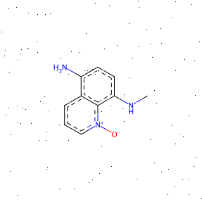 CNc1ccc(N)c2ccc[n+]([O-])c12